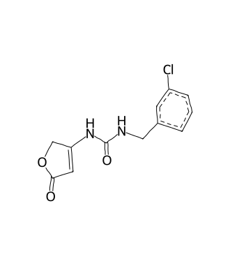 O=C(NCc1cccc(Cl)c1)NC1=CC(=O)OC1